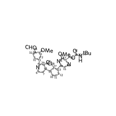 COc1cc(-c2nccc(-c3cccc(-c4cnc(COC(=O)NC(C)(C)C)c(OC)n4)c3Cl)c2Cl)ccc1C=O